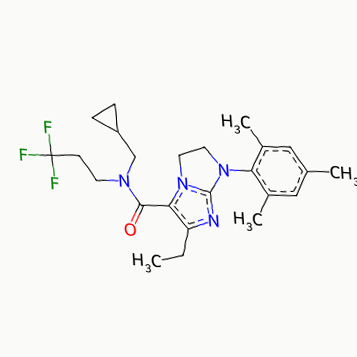 CCc1nc2n(c1C(=O)N(CCC(F)(F)F)CC1CC1)CCN2c1c(C)cc(C)cc1C